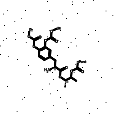 CCCCCC(=O)OC(C)[C@H](C)OC(=O)[C@@H](N)Cc1ccc(OC(=O)OC(C)C)c(OC(=O)OC(C)C)c1